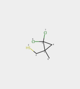 CC1(CS)CC1(Cl)Cl